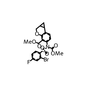 COC(=O)c1c(N(C(=O)OC)S(=O)(=O)c2ccc(F)cc2Br)ccc2c1OCC1CC21